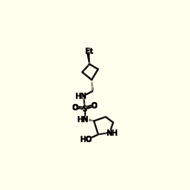 CC[C@H]1C[C@H](CNS(=O)(=O)N[C@@H]2CCNC2O)C1